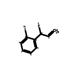 C=CC(F)c1ccccc1I